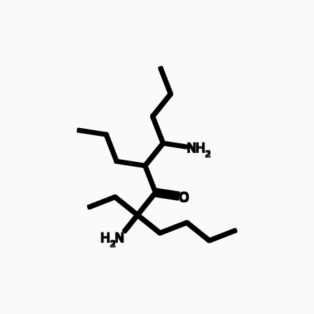 CCCCC(N)(CC)C(=O)C(CCC)C(N)CCC